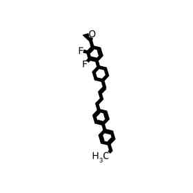 CCc1ccc(-c2ccc(CC/C=C/C3CCC(c4ccc(C5CO5)c(F)c4F)CC3)cc2)cc1